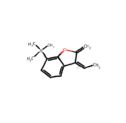 C=c1oc2c([Si](C)(C)C)cccc2/c1=C/C